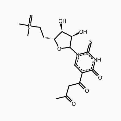 C=P(C)(C)CC[C@H]1OC(n2cc(C(=O)CC(C)=O)c(=O)[nH]c2=S)[C@H](O)[C@@H]1O